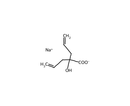 C=CCC(O)(CC=C)C(=O)[O-].[Na+]